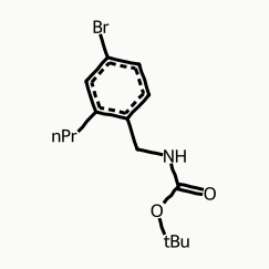 CCCc1cc(Br)ccc1CNC(=O)OC(C)(C)C